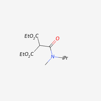 CCOC(=O)C(C(=O)OCC)C(=O)N(C)C(C)C